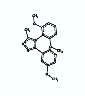 COc1ccnc(-c2nnc(C)n2-c2c(OC)cccc2OC)c1